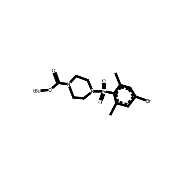 Cc1cc(Br)cc(C)c1S(=O)(=O)N1CCN(C(=O)OC(C)(C)C)CC1